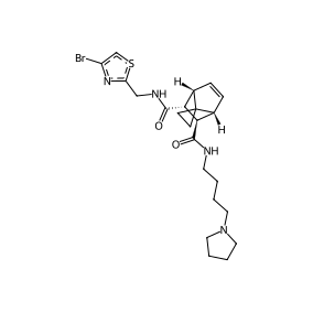 O=C(NCCCCN1CCCC1)[C@H]1[C@H](C(=O)NCc2nc(Br)cs2)[C@@H]2C=C[C@H]1C21CC1